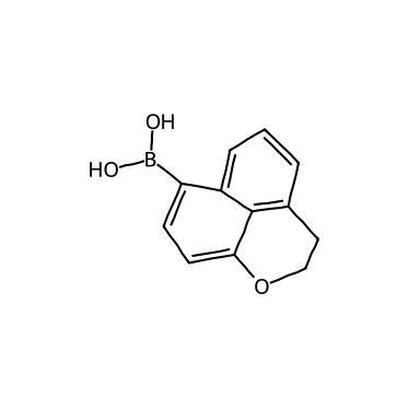 OB(O)c1ccc2c3c(cccc13)CCO2